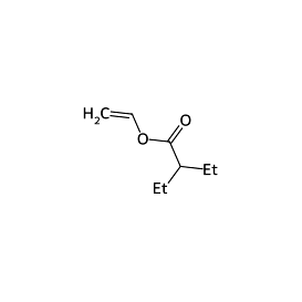 C=COC(=O)C(CC)CC